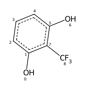 Oc1cccc(O)c1C(F)(F)F